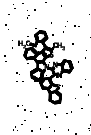 C=Cc1ccccc1-c1c(C)sc2c1c1ccccc1c1c3ccccc3n(-c3nc4ccccc4nc3-c3cccc4c3sc3ccccc34)c21